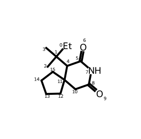 CCC(C)(C)C1C(=O)NC(=O)CC12CCCC2